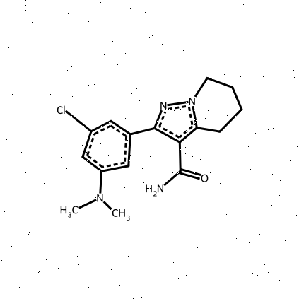 CN(C)c1cc(Cl)cc(-c2nn3c(c2C(N)=O)CCCC3)c1